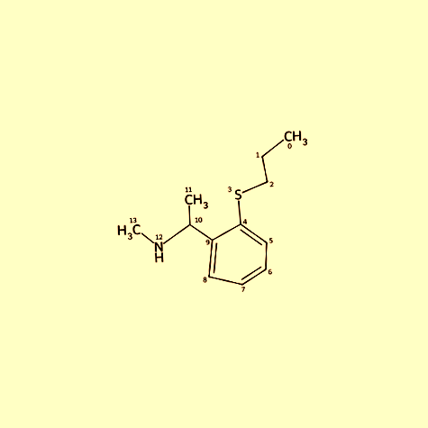 CCCSc1ccccc1C(C)NC